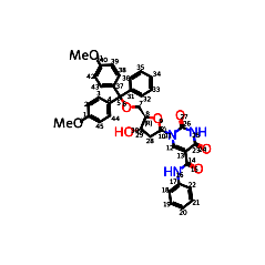 COc1ccc(C(OC[C@H]2O[C@@H](n3cc(C(=O)Nc4ccccc4)c(=O)[nH]c3=O)C[C@@H]2O)(c2ccccc2)c2ccc(OC)cc2)cc1